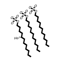 CCCCCCCCCCCCOS(=O)(=O)[O-].CCCCCCCCCCCCOS(=O)(=O)[O-].CCCCCCCCCCCCOS(=O)(=O)[O-].[Ho+3]